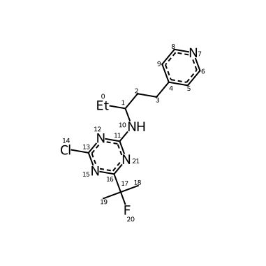 CCC(CCc1ccncc1)Nc1nc(Cl)nc(C(C)(C)F)n1